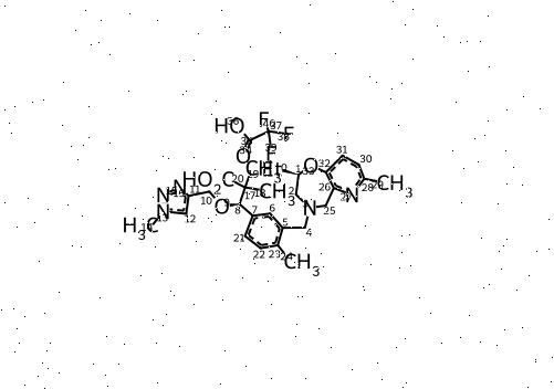 CC[C@@H]1CN(Cc2cc([C@@H](OCc3cn(C)nn3)C(C)(C)C(=O)O)ccc2C)Cc2nc(C)ccc2O1.O=C(O)C(F)(F)F